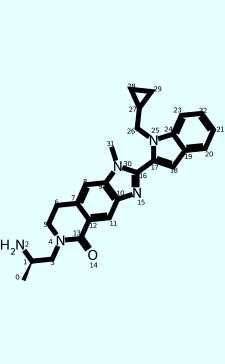 C[C@@H](N)CN1CCc2cc3c(cc2C1=O)nc(-c1cc2ccccc2n1CC1CC1)n3C